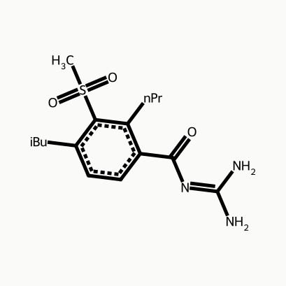 CCCc1c(C(=O)N=C(N)N)ccc(C(C)CC)c1S(C)(=O)=O